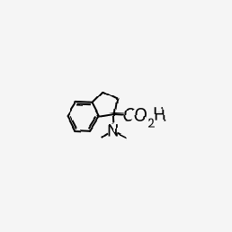 CN(C)C1(C(=O)O)CCc2ccccc21